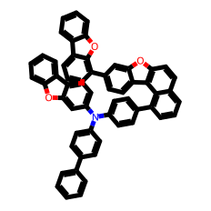 c1ccc(-c2ccc(N(c3ccc(-c4cccc5ccc6oc7cc(-c8cccc9c8oc8ccccc89)ccc7c6c45)cc3)c3ccc4c(c3)oc3ccccc34)cc2)cc1